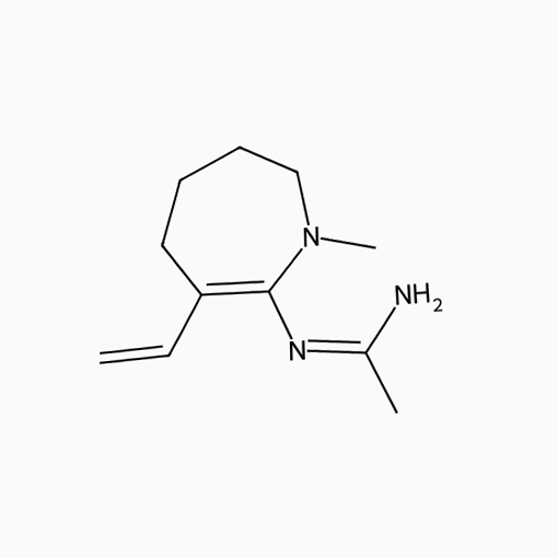 C=CC1=C(/N=C(/C)N)N(C)CCCC1